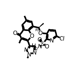 Cc1cc([C@@H](C)Oc2ccc(Cl)nc2S(N)(=O)=O)c2oc(-c3cnn(C)n3)c(C)c(=O)c2c1